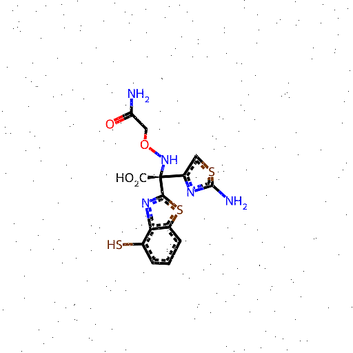 NC(=O)CON[C@](C(=O)O)(c1csc(N)n1)c1nc2c(S)cccc2s1